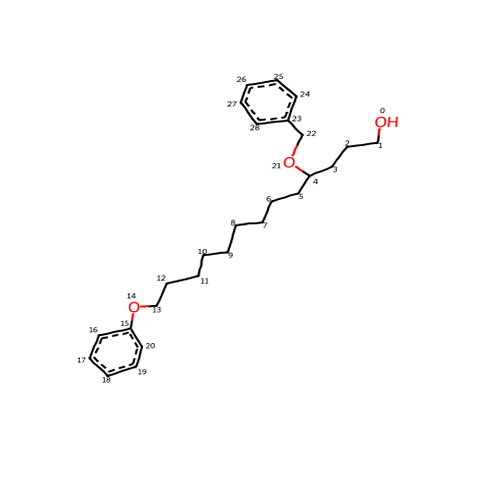 OCCCC(CCCCCCCCCOc1ccccc1)OCc1ccccc1